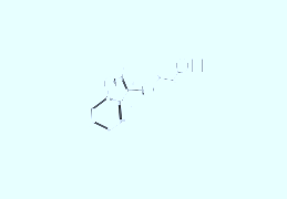 OCCOc1coc2ccccc12